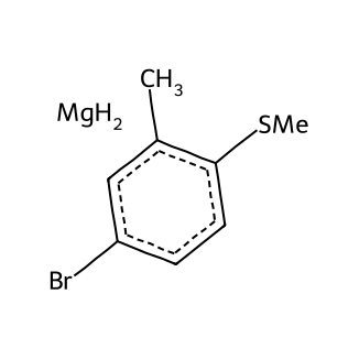 CSc1ccc(Br)cc1C.[MgH2]